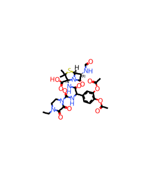 CCN1CCN(C(=O)NC(C(=O)N[C@@]2(C(=O)O)N3C(=O)[C@@H](NC=O)[C@H]3SC2(C)C)c2ccc(OC(C)=O)c(OC(C)=O)c2)C(=O)C1=O